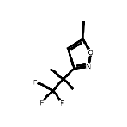 Cc1cc(C(C)(C)C(F)(F)F)no1